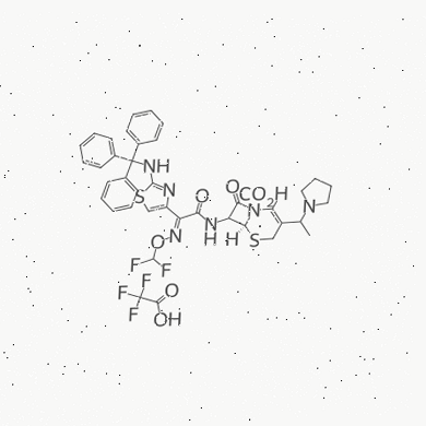 CC(C1=C(C(=O)O)N2C(=O)C(NC(=O)C(=NOC(F)F)c3csc(NC(c4ccccc4)(c4ccccc4)c4ccccc4)n3)[C@@H]2SC1)N1CCCC1.O=C(O)C(F)(F)F